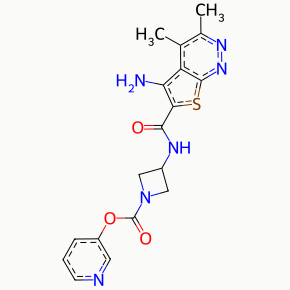 Cc1nnc2sc(C(=O)NC3CN(C(=O)Oc4cccnc4)C3)c(N)c2c1C